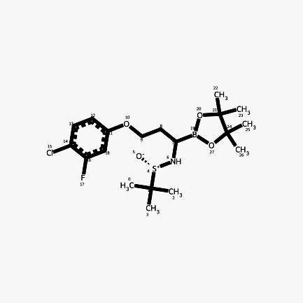 CC(C)(C)[S@+]([O-])NC(CCOc1ccc(Cl)c(F)c1)B1OC(C)(C)C(C)(C)O1